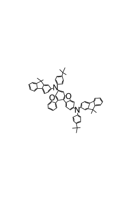 CC(C)(C)c1ccc(N(c2ccc3c(c2)C(C)(C)c2ccccc2-3)c2ccc3c(c2)oc2cc(N(c4ccc(C(C)(C)C)cc4)c4ccc5c(c4)C(C)(C)c4ccccc4-5)c4oc5ccccc5c4c23)cc1